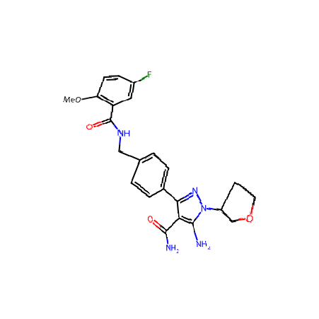 COc1ccc(F)cc1C(=O)NCc1ccc(-c2nn(C3CCOC3)c(N)c2C(N)=O)cc1